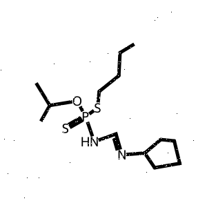 CCCCSP(=S)(NC=NC1CCCC1)OC(C)C